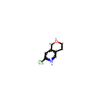 Clc1cc2c(cn1)CCOC2